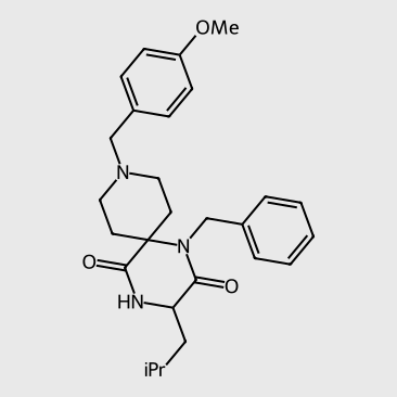 COc1ccc(CN2CCC3(CC2)C(=O)NC(CC(C)C)C(=O)N3Cc2ccccc2)cc1